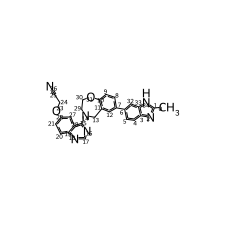 Cc1nc2ccc(-c3ccc4c(c3)CN(c3ncnc5ccc(OCC#N)cc35)CCO4)cc2[nH]1